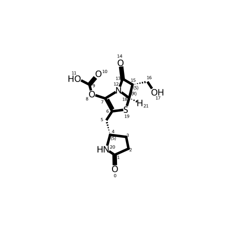 O=C1CC[C@@H](CC2=C(OC(=O)O)N3C(=O)[C@H](CO)[C@H]3S2)N1